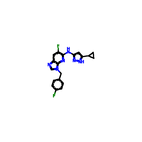 Fc1ccc(Cn2cnc3cc(F)c(Nc4cc(C5CC5)[nH]n4)nc32)cc1